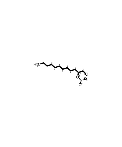 CCCCCCCCCCC(CCl)O[N+](=O)[O-]